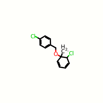 [CH2]C1(OCc2ccc(Cl)cc2)C=CC=CC1Cl